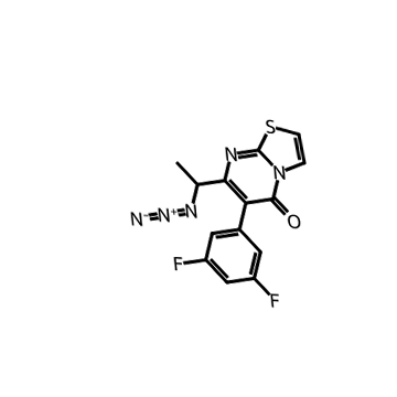 CC(N=[N+]=[N-])c1nc2sccn2c(=O)c1-c1cc(F)cc(F)c1